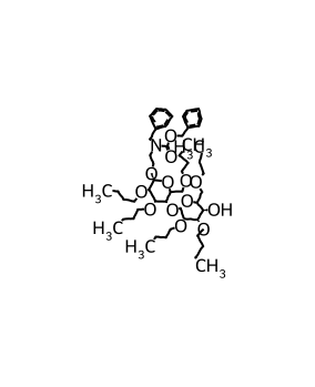 CCCCOCC1O[C@H](O[C@H]2C(COCCCC)O[C@H](OCCN(Cc3ccccc3)C(=O)OCc3ccccc3)C(OCCCC)[C@H]2OCCCC)C(OCCCC)[C@@H](OCCCC)[C@@H]1O